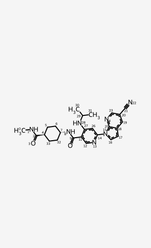 CNC(=O)[C@H]1CC[C@H](NC(=O)c2cnc(-n3ccc4cc(C#N)cnc43)cc2NC(C)C)CC1